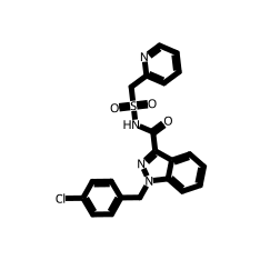 O=C(NS(=O)(=O)Cc1ccccn1)c1nn(Cc2ccc(Cl)cc2)c2ccccc12